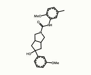 COc1cccc(C2(O)CC3CN(C(=O)Nc4cc(C)ccc4OC)CC3C2)c1